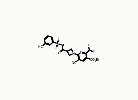 CCOC(=O)c1cc(C#N)c(N2CC(C(=O)NS(=O)(=O)c3cccc(C#N)c3)C2)nc1C(F)F